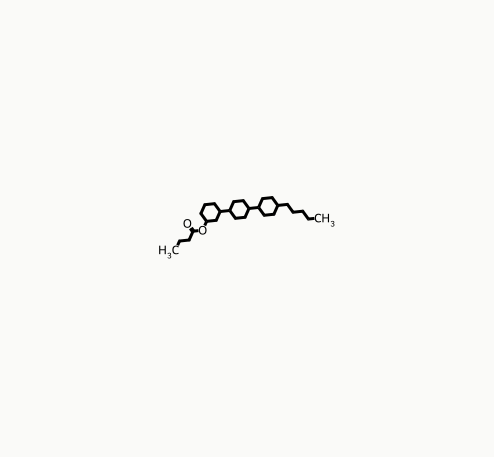 CCCCCC1CCC(C2CCC(C3CCCC(OC(=O)CCC)C3)CC2)CC1